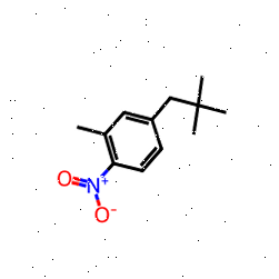 Cc1cc(CC(C)(C)C)ccc1[N+](=O)[O-]